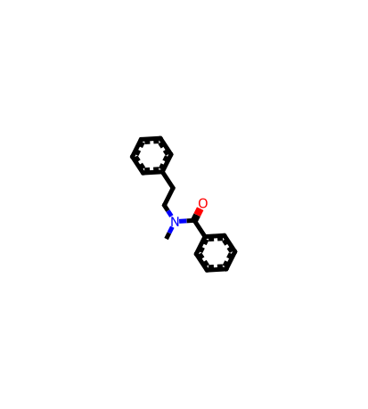 CN(CCc1ccccc1)C(=O)c1ccccc1